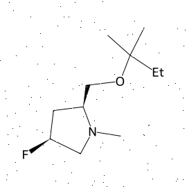 CCC(C)(C)OC[C@@H]1C[C@H](F)CN1C